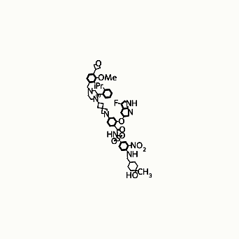 COc1cc(CN2CCN(C3CC4(C3)CN(c3ccc(C(=O)NS(=O)(=O)c5ccc(NCC6CCC(C)(O)CC6)c([N+](=O)[O-])c5)c(Oc5cnc6[nH]cc(F)c6c5)c3)C4)[C@H](c3ccccc3C(C)C)C2)ccc1C1COC1